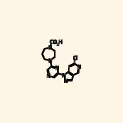 O=C(O)N1CCCN(c2cncc(-n3ncc4cnc(Cl)cc43)n2)CC1